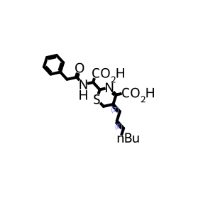 CCCC/C=C/C=C1\CSC(C(NC(=O)Cc2ccccc2)C(=O)O)N=C1C(=O)O